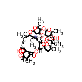 CO[C@H]1C[C@H](O[C@H]2[C@H](C)O[C@@H](O[C@@H]3/C(C)=C/C[C@@H]4C[C@@H](C[C@]5(C=C[C@H](C)[C@@H](C(C)C)O5)O4)OC(=O)[C@@H]4C=C(C)[C@H]5OC56OCC(CCC[C@@H]3C)[C@@]46O)C[C@@H]2OC)O[C@@H](C)[C@@H]1O